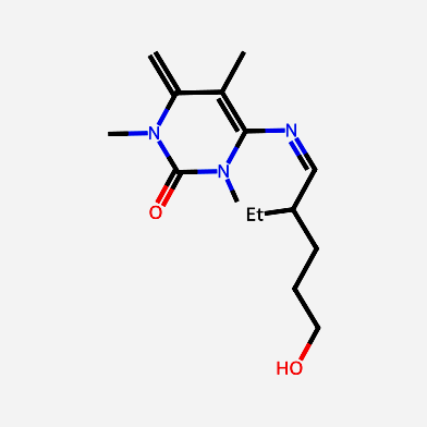 C=C1C(C)=C(/N=C\C(CC)CCCO)N(C)C(=O)N1C